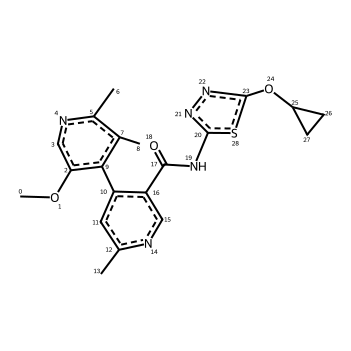 COc1cnc(C)c(C)c1-c1cc(C)ncc1C(=O)Nc1nnc(OC2CC2)s1